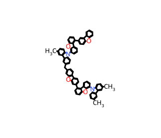 Cc1ccc2c(c1)c1cc(C)ccc1n2-c1cccc2c1oc1cccc(-c3ccc4c(c3)oc3cc(Cc5ccc6c(c5)c5cc(C)ccc5n6-c5cccc6c5oc5cccc(-c7ccc8oc9ccccc9c8c7)c56)ccc34)c12